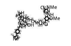 CNc1nc(Nc2ccc(C(=O)N3CCN(CCOCCSC(C)(C)C(NC(=O)C4(F)CC4)C(=O)N4C[C@H](O)C[C@H]4C(=O)NCc4ccc(-c5scnc5C)cc4)CC3)cc2OC)ncc1Cl